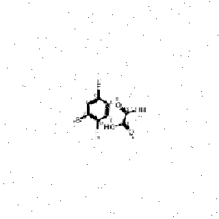 O=C(O)C(=O)O.[B]c1cc(F)ccc1F